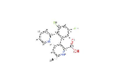 O=C(O)c1ncccc1-c1cc(F)cc(F)c1-c1ccccn1.[Ir+3]